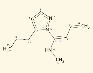 C=C/C=C(/NC)n1nccc1CCC